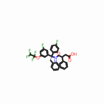 O=C(O)CC(C(=O)N[C@](Cc1ccccc1)(c1ccc(F)cc1)c1cc(F)cc(OC(F)(F)C(F)F)c1)c1ccccc1